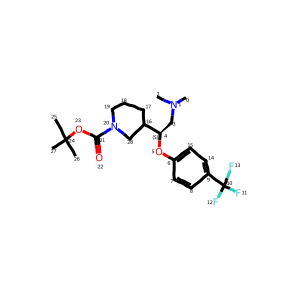 CN(C)C[C@@H](Oc1ccc(C(F)(F)F)cc1)C1CCCN(C(=O)OC(C)(C)C)C1